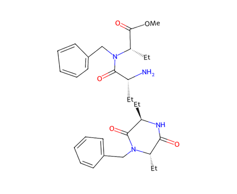 CC[C@@H](N)C(=O)N(Cc1ccccc1)[C@@H](CC)C(=O)OC.CC[C@H]1NC(=O)[C@H](CC)N(Cc2ccccc2)C1=O